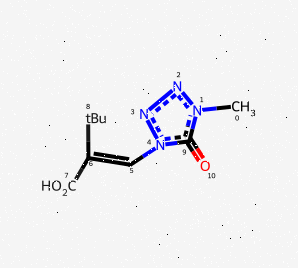 Cn1nnn(C=C(C(=O)O)C(C)(C)C)c1=O